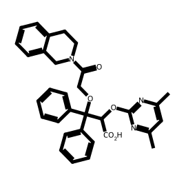 Cc1cc(C)nc(OC(C(=O)O)C(OCC(=O)N2CCc3ccccc3C2)(c2ccccc2)c2ccccc2)n1